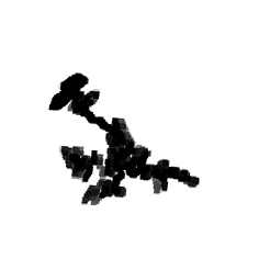 CNNC(=O)OCc1ccc(N(C(=O)[C@@H](NC(=O)CCCCCNC(=O)OCC2c3ccccc3-c3ccccc32)C(C)C)[C@@H](CCCNC(N)=O)C(N)=O)cc1.O=C(O)C(F)(F)F